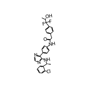 CC(O)C(F)(F)c1ccc(CC(=O)Nc2ccc(-c3nccnc3N[C@@H](C)c3ccccc3Cl)cc2)cc1